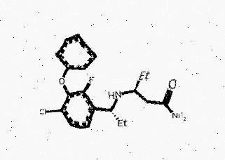 CC[C@@H](CC(N)=O)N[C@H](CC)c1ccc(Cl)c(Oc2ccccc2)c1F